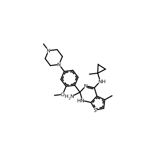 COc1cc(N2CCN(C)CC2)ccc1C1(N)N=C(NC2(C)CC2)c2c(C)csc2N1